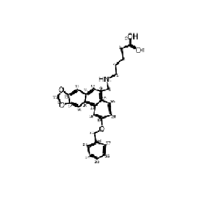 O=C(O)CCCCNCc1cc2cc3c(cc2c2cc(OCc4ccccc4)ccc12)OCO3